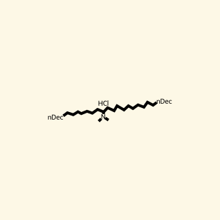 CCCCCCCCCCCCCCCCCCCCC(CCCCCCCCCCCCCCCCC)N(C)C.Cl